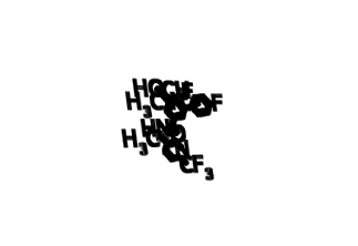 C[C@@H](NC(=O)c1cc(-c2ccc(F)cc2F)nc(C(C)(C)O)c1)c1ccc(C(F)(F)F)nc1